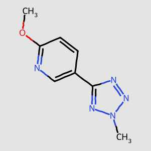 COc1ccc(-c2nnn(C)n2)cn1